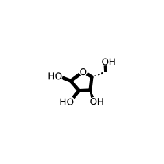 OC[C@H]1OC(O)C(O)[C@@H]1O